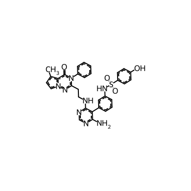 Cc1ccn2nc(CCNc3ncnc(N)c3-c3cccc(NS(=O)(=O)c4ccc(O)cc4)c3)n(-c3ccccc3)c(=O)c12